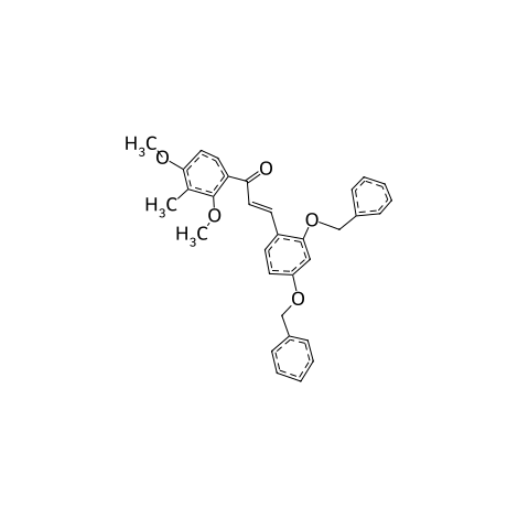 COc1ccc(C(=O)C=Cc2ccc(OCc3ccccc3)cc2OCc2ccccc2)c(OC)c1C